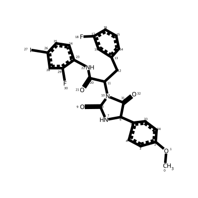 COc1ccc(C2NC(=O)N(C(Cc3cccc(F)c3)C(=O)Nc3ccc(I)cc3F)C2=O)cc1